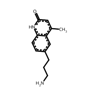 Cc1cc(=O)[nH]c2ccc(CCCN)cc12